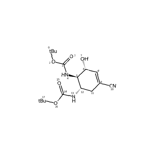 CC(C)(C)OC(=O)N[C@H]1[C@H](O)C=C(C#N)C[C@@H]1NC(=O)OC(C)(C)C